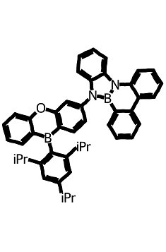 CC(C)c1cc(C(C)C)c(B2c3ccccc3Oc3cc(N4B5c6ccccc6-c6ccccc6N5c5ccccc54)ccc32)c(C(C)C)c1